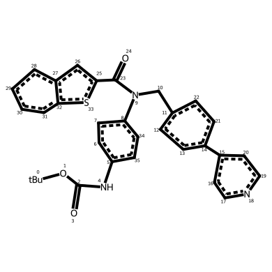 CC(C)(C)OC(=O)Nc1ccc(N(Cc2ccc(-c3ccncc3)cc2)C(=O)c2cc3ccccc3s2)cc1